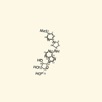 CSc1ccc(N2CC[C@H](Nc3ncnc4c3ncn4C3O[C@H](CO)[C@H](O)C3O)C2)nc1